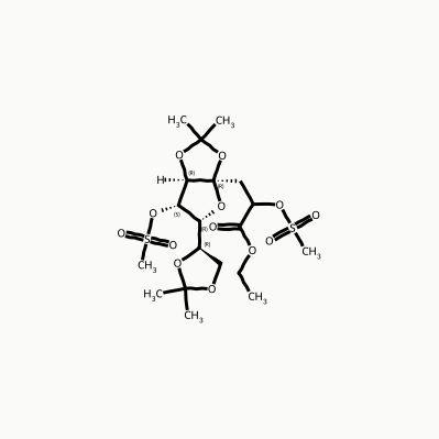 CCOC(=O)C(C[C@]12O[C@H]([C@H]3COC(C)(C)O3)[C@H](OS(C)(=O)=O)[C@H]1OC(C)(C)O2)OS(C)(=O)=O